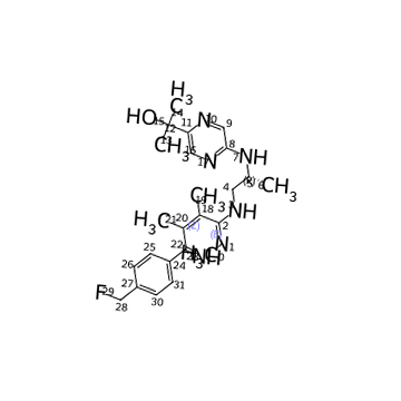 C/N=C(NC[C@@H](C)Nc1cnc(C(C)(C)O)cn1)\C(C)=C(\C)C(=N)c1ccc(CF)cc1